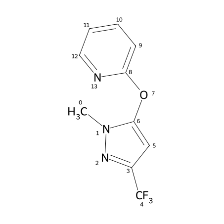 Cn1nc(C(F)(F)F)cc1Oc1ccccn1